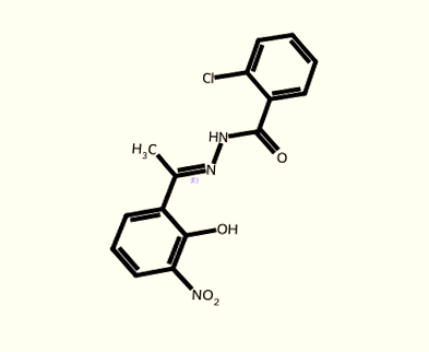 C/C(=N\NC(=O)c1ccccc1Cl)c1cccc([N+](=O)[O-])c1O